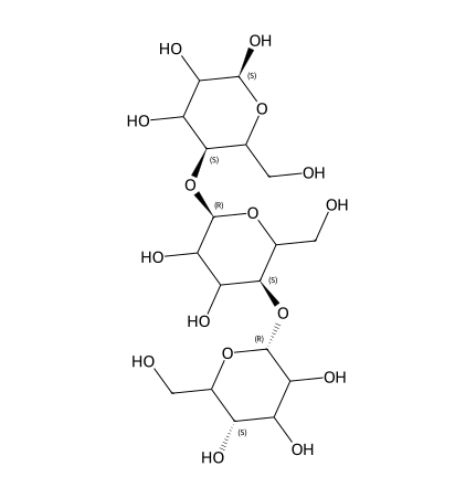 OCC1O[C@H](O[C@@H]2C(CO)O[C@H](O[C@@H]3C(CO)O[C@H](O)C(O)C3O)C(O)C2O)C(O)C(O)[C@@H]1O